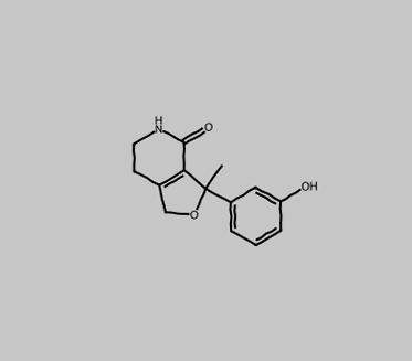 CC1(c2cccc(O)c2)OCC2=C1C(=O)NCC2